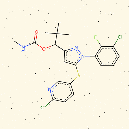 CNC(=O)OC(c1cc(Sc2ccc(Cl)nc2)n(-c2cccc(Cl)c2F)n1)C(C)(C)C